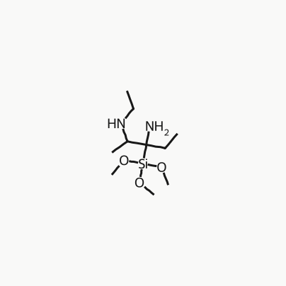 CCNC(C)C(N)(CC)[Si](OC)(OC)OC